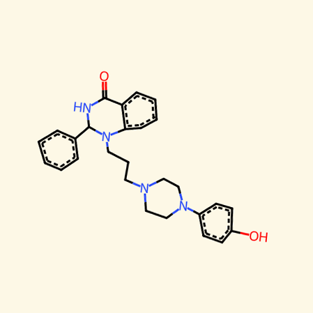 O=C1NC(c2ccccc2)N(CCCN2CCN(c3ccc(O)cc3)CC2)c2ccccc21